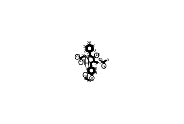 CC(=O)SCC(Cc1ccc2c(c1)OCCO2)C(=O)C(NCC(=O)O)c1ccccc1